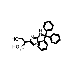 O=C(O)C(CO)c1csc(NC(c2ccccc2)(c2ccccc2)c2ccccc2)n1